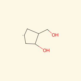 OCC1C[CH]CC1O